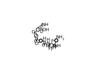 Nc1ccc(-c2[nH]nc(C(F)(F)F)c2Cc2cnc(C(=O)Nc3ccc(C(=O)N4CCN(C(=O)C5CC[N+](CC(=O)O)(CC6CNC6)CC5)CC4)c(Cl)c3)[nH]2)c(F)c1